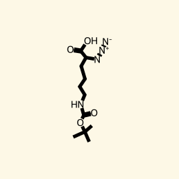 CC(C)(C)OC(=O)NCCCCC(N=[N+]=[N-])C(=O)O